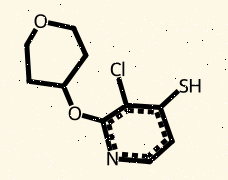 Sc1ccnc(OC2CCOCC2)c1Cl